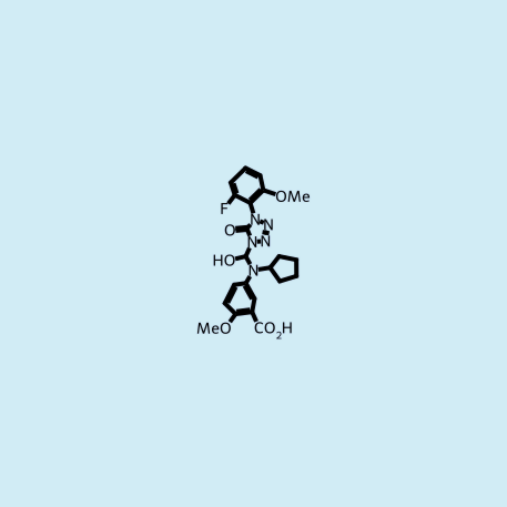 COc1ccc(N(C2CCCC2)C(O)n2nnn(-c3c(F)cccc3OC)c2=O)cc1C(=O)O